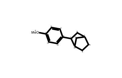 COc1ccc(C2CC3CCC2C3)cc1